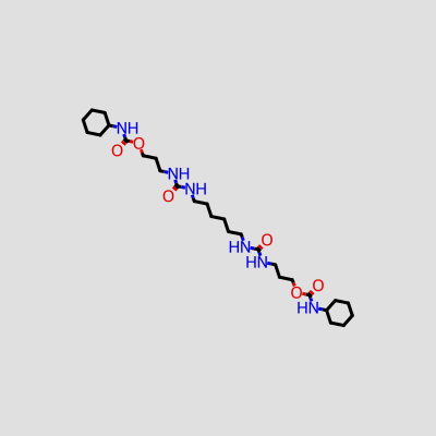 O=C(NCCCCCCNC(=O)NCCCOC(=O)NC1CCCCC1)NCCCOC(=O)NC1CCCCC1